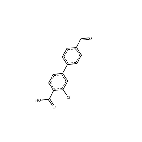 O=Cc1ccc(-c2ccc(C(=O)O)c(Cl)c2)cc1